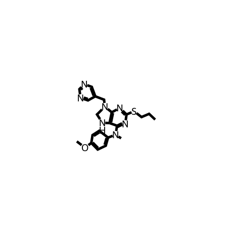 CCCSc1nc2c(c(N(C)c3ccc(OC)cc3)n1)NCN2Cc1cncnc1